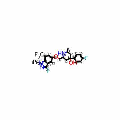 CC1CC(O)(c2ccc(F)cc2)CC(COc2cc(C(F)(F)F)c3c(c2)c(F)nn3C(C)C)N1